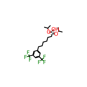 CC(C)O[Si](O)(CCCCCCc1cc(C(F)(F)F)cc(C(F)(F)F)c1)OC(C)C